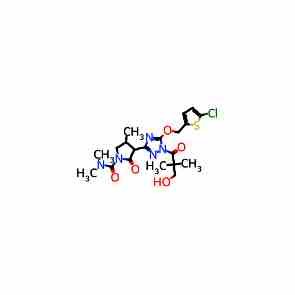 CC1CN(C(=O)N(C)C)C(=O)C1c1nc(OCc2ccc(Cl)s2)n(C(=O)C(C)(C)CO)n1